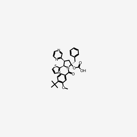 COc1cc(C(=O)N2[C@@H](c3nccs3)[C@@H](c3cnccn3)C[C@@]2(Cc2ccccc2)OC(=O)O)ccc1C(C)(C)C